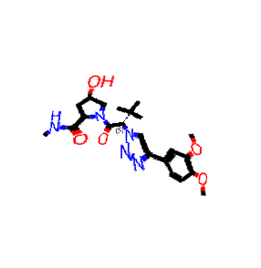 CNC(=O)C1CC(O)CN1C(=O)[C@@H](n1cc(-c2ccc(OC)c(OC)c2)nn1)C(C)(C)C